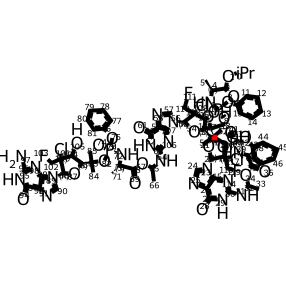 CC(C)OC(=O)[C@H](C)NP(=O)(Oc1ccccc1)OC(C)(C)[C@H]1O[C@@H](n2cnc3c(=O)[nH]c(NC(C)OC(=O)[C@H](C)N[P@@](=O)(Oc4ccccc4)OC(C)(C)[C@H]4O[C@@H](n5cnc6c(=O)[nH]c(NC(C)OC(=O)[C@H](C)N[P@](=O)(Oc7ccccc7)OC(C)(C)[C@H]7O[C@@H](n8cnc9c(=O)[nH]c(N)nc98)[C@@](Cl)(CF)C7O)nc65)[C@@](Cl)(CF)C4O)nc32)[C@@](Cl)(CF)C1O